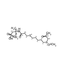 COC(CCCCCSCCC(=O)NC(C)(C)CS(=O)(=O)O)CC(C)=O